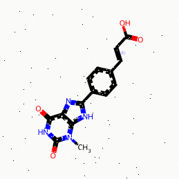 Cn1c(=O)[nH]c(=O)c2nc(-c3ccc(/C=C/C(=O)O)cc3)[nH]c21